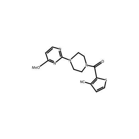 COc1ccnc(N2CCN(C(=O)c3sccc3C#N)CC2)n1